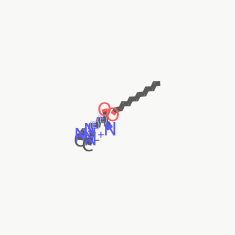 [C-]#[N+]CN(/C=C/C=C(\C#N)C(=O)OCCCCCCCCCCCC)C[N+]#[C-]